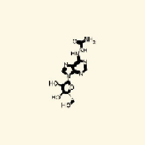 NC(=O)NNc1ncnc2c1ncn2[C@@H]1O[C@H](CO)[C@@H](O)[C@H]1O